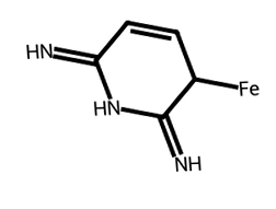 N=C1C=C[CH]([Fe])C(=N)N1